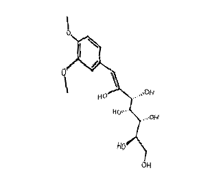 COc1ccc(C=C(O)[C@H](O)[C@@H](O)[C@H](O)[C@H](O)CO)cc1OC